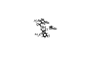 CCn1c(CNC(=O)c2nc(Br)cnc2N)[n+](C)c2ccc(Cl)cc21.O=CO.O=C[O-]